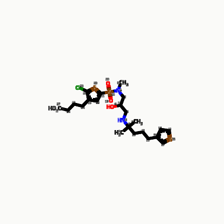 CN(CC(O)CNC(C)(C)CCCc1ccsc1)S(=O)(=O)c1cc(CCCC(=O)O)c(Cl)s1